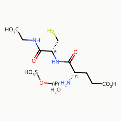 CCCOS(=O)(=O)O.N[C@@H](CCC(=O)O)C(=O)N[C@@H](CS)C(=O)NCC(=O)O.O